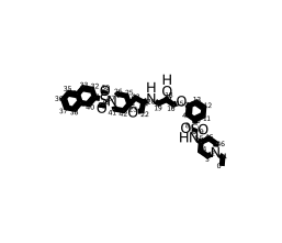 CCN1CCC(NS(=O)(=O)c2cccc(OC[C@@H](O)CNC3COC4(CCN(S(=O)(=O)c5ccc6ccccc6c5)CC4)C3)c2)CC1